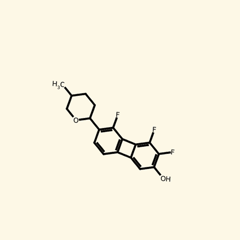 CC1CCC(c2ccc3c(c2F)-c2c-3cc(O)c(F)c2F)OC1